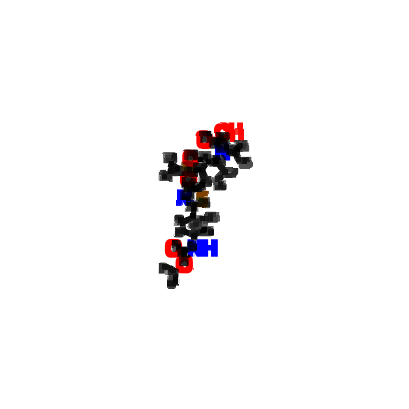 CC(C)OC(=O)NC1CCC(c2ncc(-c3ccc(N(C(=O)O)C(C)C)cc3S(=O)(=O)C3CC3)s2)CC1